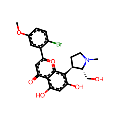 COc1ccc(Br)c(-c2cc(=O)c3c(O)cc(O)c([C@H]4CCN(C)[C@@H]4CO)c3o2)c1